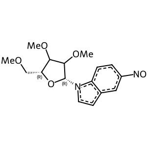 COC[C@H]1O[C@@H](n2ccc3cc(N=O)ccc32)C(OC)C1OC